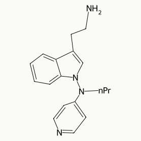 CCCN(c1ccncc1)n1cc(CCN)c2ccccc21